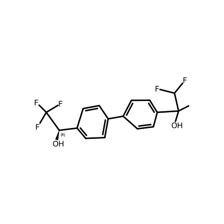 CC(O)(c1ccc(-c2ccc([C@@H](O)C(F)(F)F)cc2)cc1)C(F)F